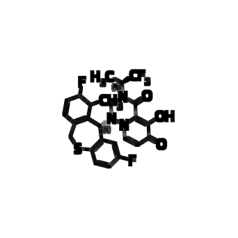 CC1C2=C(C=CC1F)CSc1ccc(F)cc1[C@H]2N1CN([C@@H](C)C(F)(F)F)C(=O)c2c(O)c(=O)ccn21